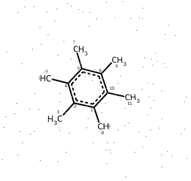 [CH]c1c(C)c([CH])c(C)c(C)c1C